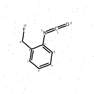 O=C=Nc1ccccc1CF